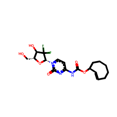 O=C(Nc1ccn([C@@H]2O[C@H](CO)C(O)C2(F)F)c(=O)n1)OC1/C=C/CCCCC1